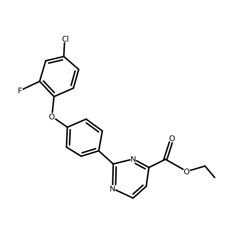 CCOC(=O)c1ccnc(-c2ccc(Oc3ccc(Cl)cc3F)cc2)n1